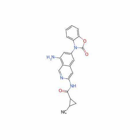 N#CC1CC1C(=O)Nc1cc2cc(-n3c(=O)oc4ccccc43)cc(N)c2cn1